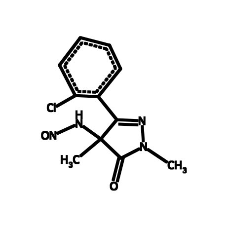 CN1N=C(c2ccccc2Cl)C(C)(NN=O)C1=O